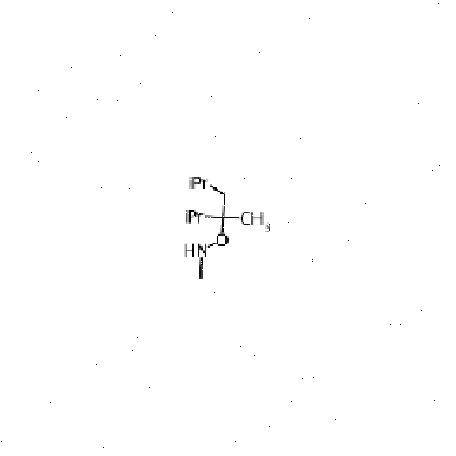 CC(C)CC(C)(ONI)C(C)C